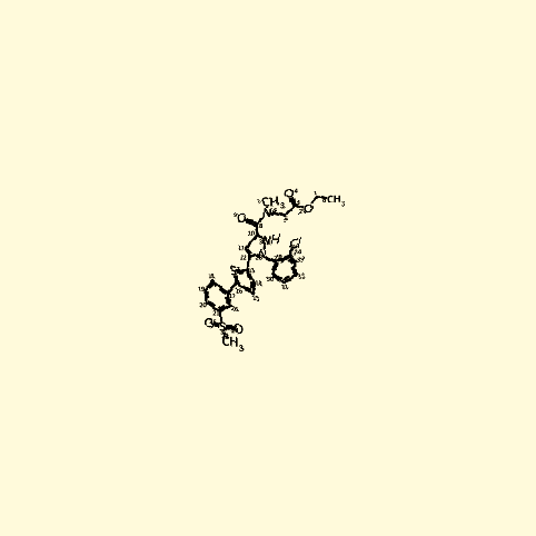 CCOC(=O)CN(C)C(=O)C1C=C(c2ccc(-c3cccc(S(C)(=O)=O)c3)s2)N(c2ccccc2Cl)N1